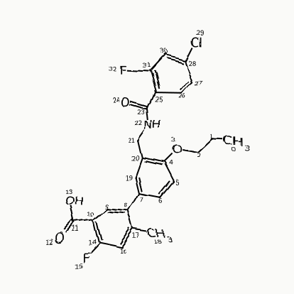 CCCOc1ccc(-c2cc(C(=O)O)c(F)cc2C)cc1CNC(=O)c1ccc(Cl)cc1F